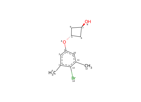 Cc1cc(O[C@H]2C[C@H](O)C2)cc(C)c1Br